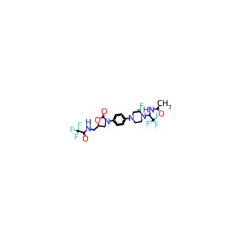 CC(=O)NC(N1CCN(c2ccc(N3CC(CNC(=O)C(F)(F)F)OC3=O)cc2)C[C@@H]1F)C(F)(F)F